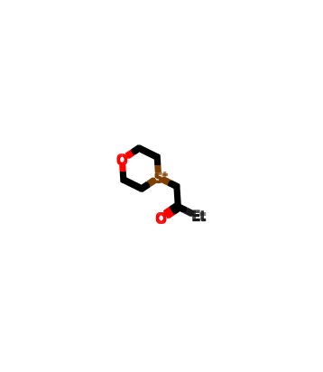 CCC(=O)C[S+]1CCOCC1